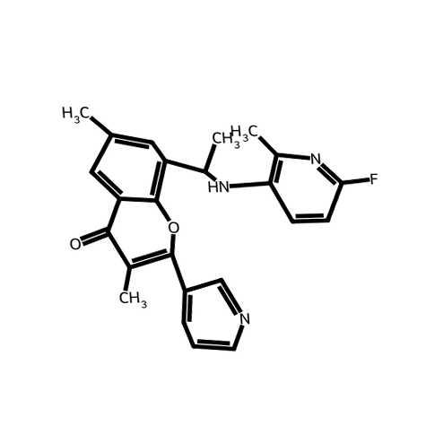 Cc1cc(C(C)Nc2ccc(F)nc2C)c2oc(-c3cccnc3)c(C)c(=O)c2c1